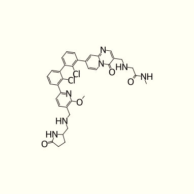 CNC(=O)CNCc1cnc2cc(-c3cccc(-c4cccc(-c5ccc(CNCC6CCC(=O)N6)c(OC)n5)c4Cl)c3Cl)ccn2c1=O